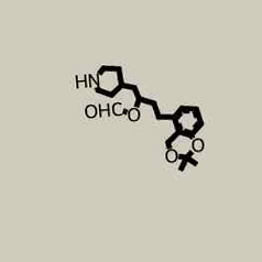 CC1(C)OCc2c(CCC(CC3CCNCC3)OC=O)cccc2O1